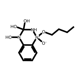 CCCCO[N+]1([O-])NC(O)(O)N(O)c2ccccc21